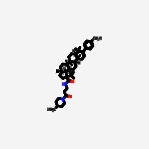 C=C(C)[C@@]1(C(=O)NCCC(=O)N2CCC(C(=O)O)CC2)CC[C@@H]2CC[C@]3(C)[C@H](CC[C@@H]4[C@@]5(C)CC=C(c6ccc(C(=O)O)cc6)C(C)(C)[C@@H]5CC[C@]43C)[C@@H]21